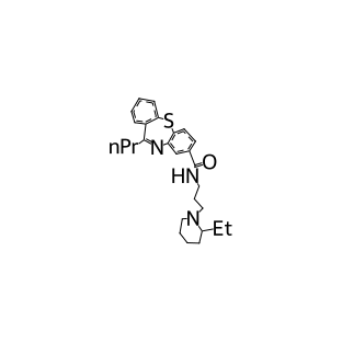 CCCC1=Nc2cc(C(=O)NCCCN3CCCCC3CC)ccc2Sc2ccccc21